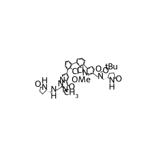 COc1nc(-c2cccc(-c3cccc(-c4cc5c(=O)n(C)c(CNC[C@@H]6CCC(=O)N6)nn5c4)c3Cl)c2Cl)ccc1CN(C[C@@H]1CCC(=O)N1)C(=O)OC(C)(C)C